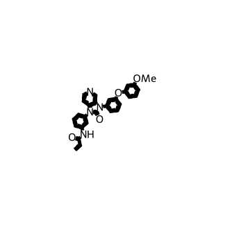 C=CC(=O)Nc1cccc(-n2c(=O)n(-c3cccc(Oc4cccc(OC)c4)c3)c3cnccc32)c1